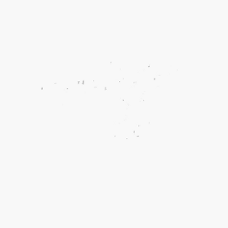 CCCOC(=O)NC[C@@H]1CCCN(c2nc(-c3ccccc3O)nc3cc(C)ccc23)C1